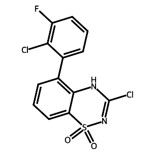 O=S1(=O)N=C(Cl)Nc2c(-c3cccc(F)c3Cl)cccc21